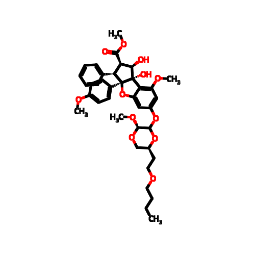 CCCCOCC[C@H]1CO[C@@H](OC)C(Oc2cc(OC)c3c(c2)O[C@@]2(c4ccc(OC)cc4)[C@H](c4ccccc4)[C@@H](C(=O)OC)[C@@H](O)[C@@]32O)O1